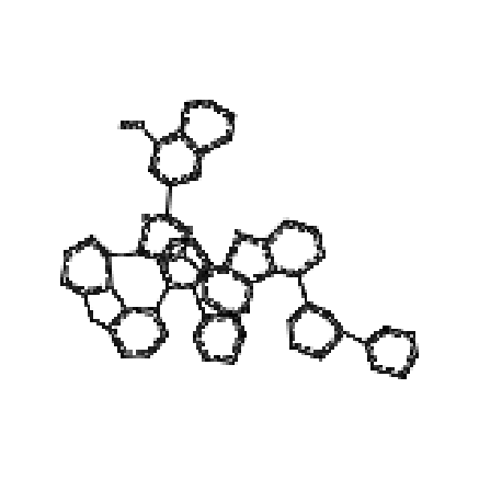 COc1cc(-c2nc(-c3cccc4c3-c3c(cccc3-c3ccccc3-c3ccccc3)C4)nc(-c3cccc4c3sc3cccc(-c5cccc(-c6ccccc6)c5)c34)n2)cc2ccccc12